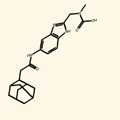 CN(Cc1nc2cc(NC(=O)CC3C4CC5CC(C4)CC3C5)ccc2[nH]1)C(=O)O